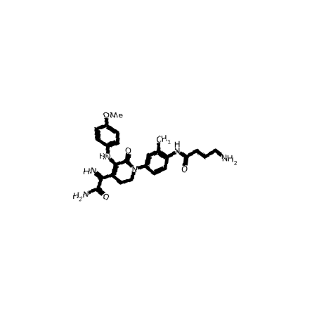 COc1ccc(NC2=C(C(=N)C(N)=O)CCN(c3ccc(NC(=O)CCCN)c(C)c3)C2=O)cc1